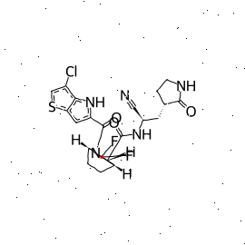 N#C[C@@H](C[C@@H]1CCNC1=O)NC(=O)[C@@H]1[C@@H]2CC[C@@H](CC2(F)F)N1C(=O)c1cc2scc(Cl)c2[nH]1